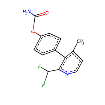 Cc1ccnc(C(F)F)c1-c1ccc(OC(N)=O)cc1